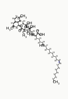 CCCCCCCC/C=C\CCCCCCCCNCCCCC(NCC[C@@H](O)C[C@@H](O)CC[C@@H]1C2C(=C[C@H](C)CC2OC(=O)C(C)(C)CC)C=C[C@@H]1C)C(=O)O